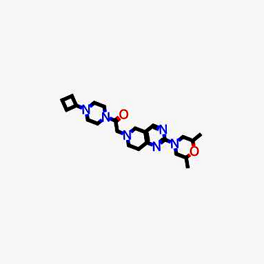 CC1CN(c2ncc3c(n2)CCN(CC(=O)N2CCN(C4CCC4)CC2)C3)CC(C)O1